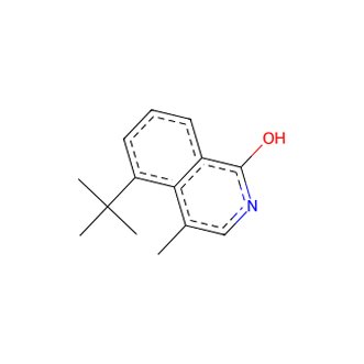 Cc1cnc(O)c2cccc(C(C)(C)C)c12